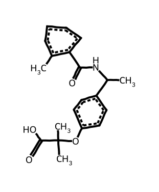 Cc1ccccc1C(=O)NC(C)c1ccc(OC(C)(C)C(=O)O)cc1